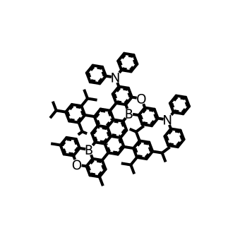 Cc1ccc2c(c1)Oc1cc(C)cc3c1B2c1cc2c(-c4c(C(C)C)cc(C(C)C)cc4C(C)C)cc4c5c(cc6c(-c7c(C(C)C)cc(C(C)C)cc7C(C)C)cc-3c1c6c25)B1c2ccc(N(c3ccccc3)c3ccccc3)cc2Oc2cc(N(c3ccccc3)c3ccccc3)cc-4c21